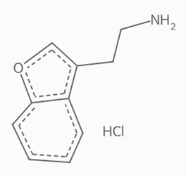 Cl.NCCc1coc2ccccc12